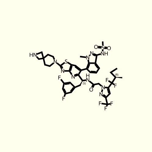 CC[C@@H](C)C(F)(F)c1cc(C(F)(F)F)nn1CC(=O)N[C@@H](Cc1cc(F)cc(F)c1)c1nc2nc(N3CCC4(CC3)CNC4)sc2cc1-c1cccc2c(NS(C)(=O)=O)nn(C)c12